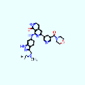 CN(C)Cc1n[nH]c2cc(Nc3nc(-c4cncc(C(=O)N5CCOCC5)c4)cc4cc[nH]c(=O)c34)ccc12